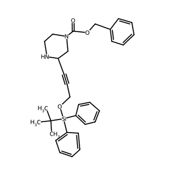 CC(C)(C)[Si](OCC#CC1CN(C(=O)OCc2ccccc2)CCN1)(c1ccccc1)c1ccccc1